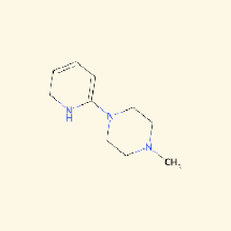 CN1CCN(C2=CC=[C]CN2)CC1